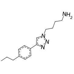 CCCc1ccc(-c2cn(CCCCN)nn2)cc1